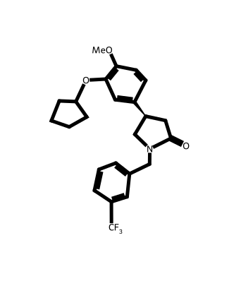 COc1ccc([C@H]2CC(=O)N(Cc3cccc(C(F)(F)F)c3)C2)cc1OC1CCCC1